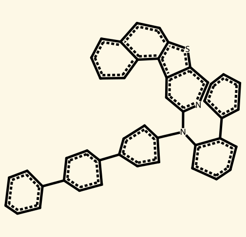 c1ccc(-c2ccc(-c3ccc(N(c4cc5c(cn4)sc4ccc6ccccc6c45)c4ccccc4-c4ccccc4)cc3)cc2)cc1